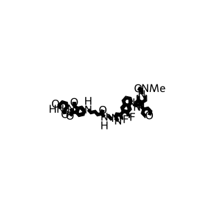 CNC(=O)N1CCc2c(c(N3CCCc4cc(-c5cnn(CCNC(=O)CCCNc6ccc7c(c6)C(=O)N(C6CCC(=O)NC6=O)C7=O)c5)c(C(F)F)cc43)nn2C2CCOCC2)C1